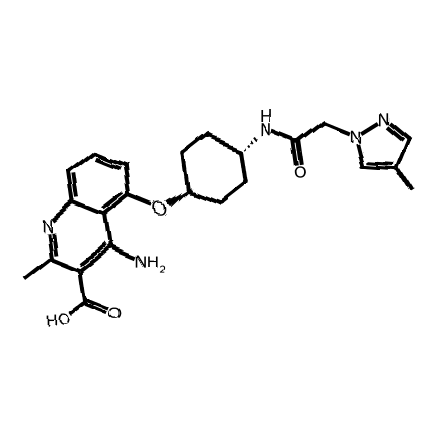 Cc1cnn(CC(=O)N[C@H]2CC[C@H](Oc3cccc4nc(C)c(C(=O)O)c(N)c34)CC2)c1